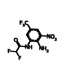 Nc1c(NC(=O)C(F)F)cc(C(F)(F)F)cc1[N+](=O)[O-]